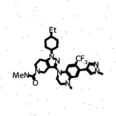 CCC1CCC(n2nc(N3CCN(C)c4cc(-c5cnn(C)c5)c(C(F)(F)F)cc43)c3c2CCN(C(=O)NC)C3)CC1